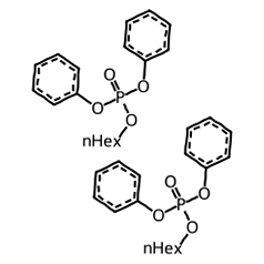 CCCCCCOP(=O)(Oc1ccccc1)Oc1ccccc1.CCCCCCOP(=O)(Oc1ccccc1)Oc1ccccc1